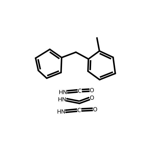 Cc1ccccc1Cc1ccccc1.N=C=O.N=C=O.N=C=O